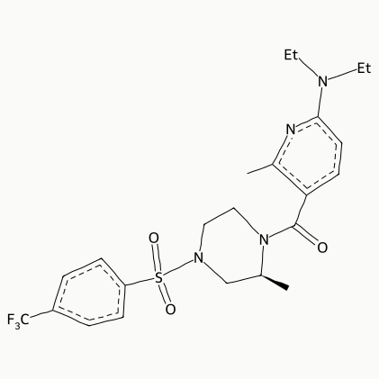 CCN(CC)c1ccc(C(=O)N2CCN(S(=O)(=O)c3ccc(C(F)(F)F)cc3)C[C@@H]2C)c(C)n1